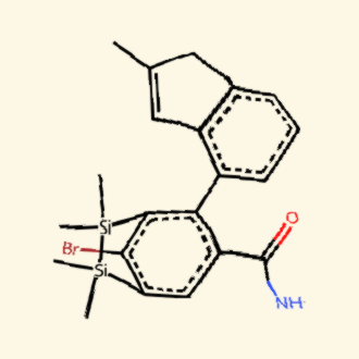 CC1=Cc2c(cccc2-c2c(C([NH])=O)cc3c(Br)c2[Si](C)(C)[Si]3(C)C)C1